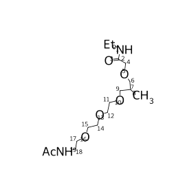 CCNC(=O)COCC(C)COCCOCCOCCNC(C)=O